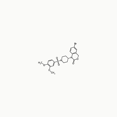 COc1ccc(S(=O)(=O)N2CCC(N3C(=O)OCc4cc(Br)ccc43)CC2)cc1OC